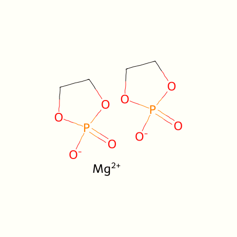 O=P1([O-])OCCO1.O=P1([O-])OCCO1.[Mg+2]